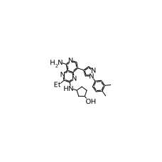 CCc1nc2c(N)ncc(-c3cnn(-c4ccc(C)c(C)c4)c3)c2nc1NC1CCC(O)C1